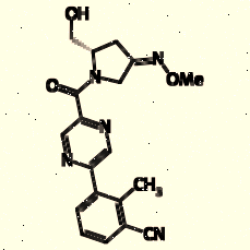 CO/N=C1/C[C@@H](CO)N(C(=O)c2cnc(-c3cccc(C#N)c3C)cn2)C1